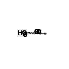 CCCCCCC(CCCCCCCCCCC(=O)O)OC(C)=O